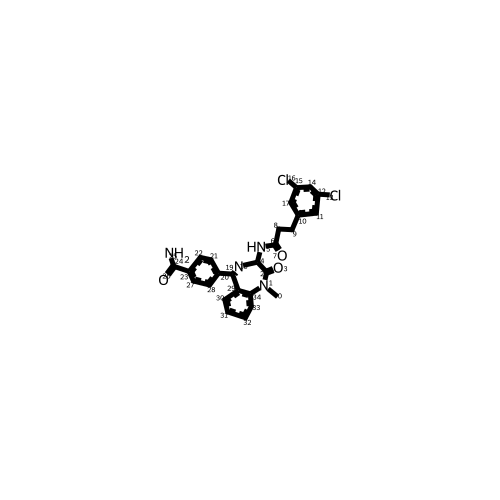 CN1C(=O)C(NC(=O)CCc2cc(Cl)cc(Cl)c2)N=C(c2ccc(C(N)=O)cc2)c2ccccc21